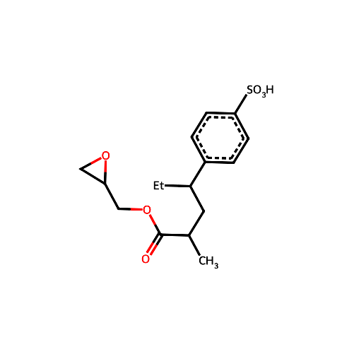 CCC(CC(C)C(=O)OCC1CO1)c1ccc(S(=O)(=O)O)cc1